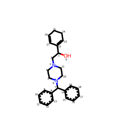 OC(CN1CCN(C(c2ccccc2)c2ccccc2)CC1)C1=CCCC=C1